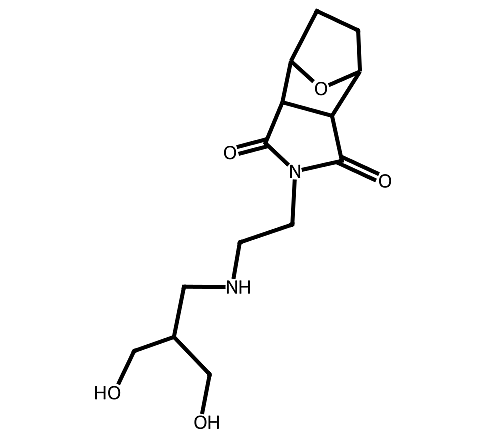 O=C1C2C3CCC(O3)C2C(=O)N1CCNCC(CO)CO